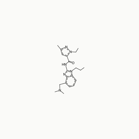 CCCn1c(NC(=O)c2cc(C)nn2CC)nc2c(CN(C)C)cccc21